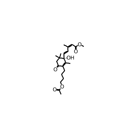 COC(=O)/C=C(C)\C=C\[C@@]1(O)C(C)=C(CCCCOC(C)=O)C(=O)CC1(C)C